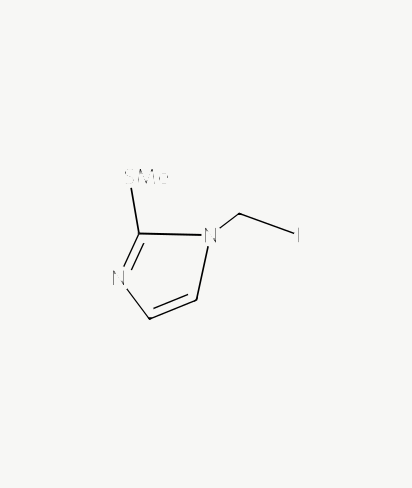 CSc1nccn1CI